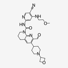 COCCNc1cc(NC(=O)N2CCCc3cc(C4CCN(C5COC5)CC4)c(C=O)nc32)ncc1C#N